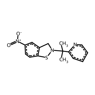 CC(C)(c1ccccn1)N1Cc2cc([N+](=O)[O-])ccc2S1